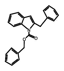 O=C(OCc1ccccc1)n1c(Cc2ccccc2)cc2ccccc21